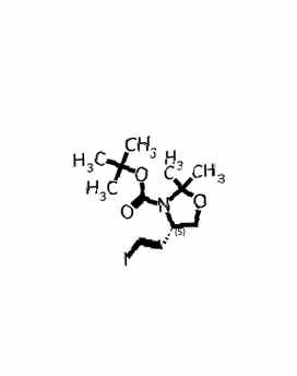 CC(C)(C)OC(=O)N1[C@@H](C=CI)COC1(C)C